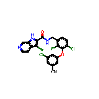 N#Cc1cc(Cl)cc(Oc2c(Cl)ccc(CNC(=O)c3[nH]c4cnccc4c3Br)c2F)c1